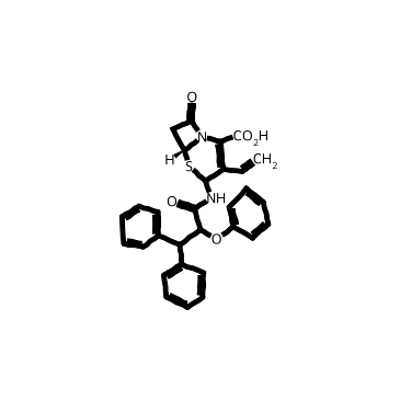 C=CC1=C(C(=O)O)N2C(=O)C[C@H]2SC1NC(=O)C(Oc1ccccc1)C(c1ccccc1)c1ccccc1